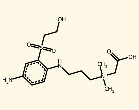 C[N+](C)(CCCNc1ccc(N)cc1S(=O)(=O)CCO)CC(=O)O